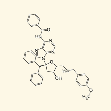 COc1ccc(CNC[C@H]2O[C@@](C(c3ccccc3)c3ccccc3)(n3cnc4c(NC(=O)c5ccccc5)ncnc43)C[C@@H]2O)cc1